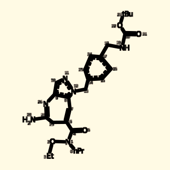 CCCN(OCC)C(=O)C1=Cc2c(cnn2Cc2ccc(CNC(=O)OC(C)(C)C)cc2)N=C(N)C1